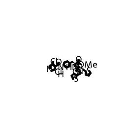 COC(=O)[C@H](Cc1ccc(NC(=O)c2c(Cl)cncc2Cl)cc1)NS(=O)(=O)N(Cc1cccs1)Cc1cccs1